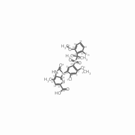 COc1cc(Cl)c(-n2c(=O)[nH]c3c(C)cc(C(=O)O)nc32)cc1S(=O)(=O)C(C)(C)c1c(F)cccc1OC